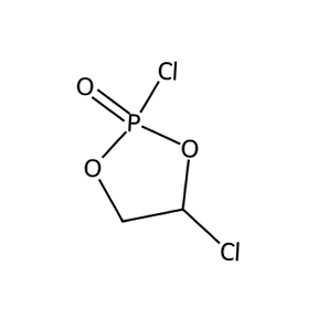 O=P1(Cl)OCC(Cl)O1